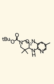 Cc1cnc(NC2CCN(C(=O)OC(C)(C)C)CC2(C)C)c([N+](=O)[O-])c1